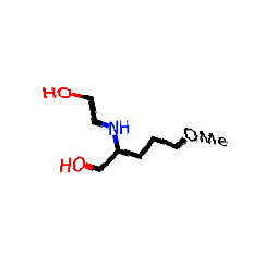 COCCCC(CO)NCCO